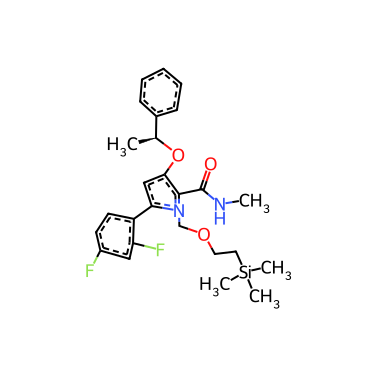 CNC(=O)c1c(O[C@@H](C)c2ccccc2)cc(-c2ccc(F)cc2F)n1COCC[Si](C)(C)C